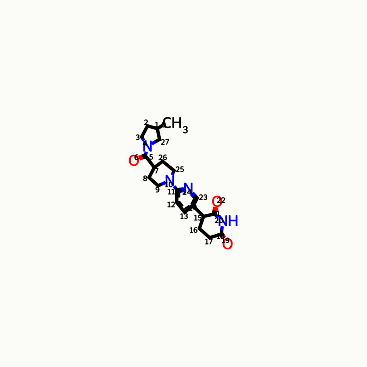 CC1CCN(C(=O)C2CCN(c3ccc(C4CCC(=O)NC4=O)cn3)CC2)C1